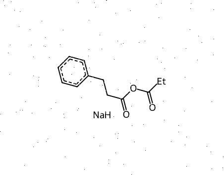 CCC(=O)OC(=O)CCc1ccccc1.[NaH]